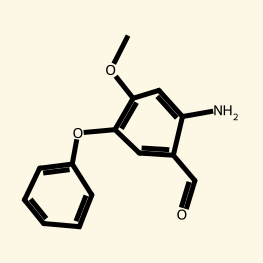 COc1cc(N)c(C=O)cc1Oc1ccccc1